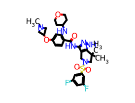 CN1CC(Oc2ccc(C(=O)Nc3n[nH]c4c3CN(S(=O)(=O)c3cc(F)cc(F)c3)CC4(C)C)c(NC3CCOCC3)c2)C1